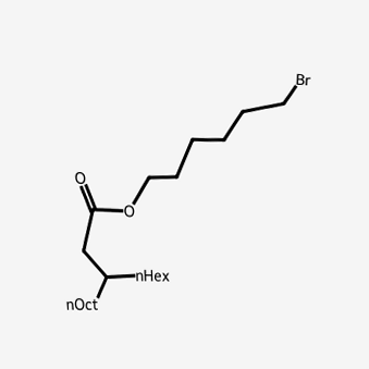 CCCCCCCCC(CCCCCC)CC(=O)OCCCCCCBr